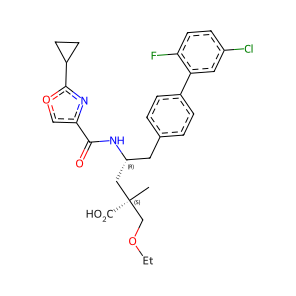 CCOC[C@](C)(C[C@@H](Cc1ccc(-c2cc(Cl)ccc2F)cc1)NC(=O)c1coc(C2CC2)n1)C(=O)O